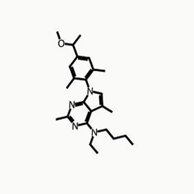 CCCCN(CC)c1nc(C)nc2c1c(C)cn2-c1c(C)cc(C(C)OC)cc1C